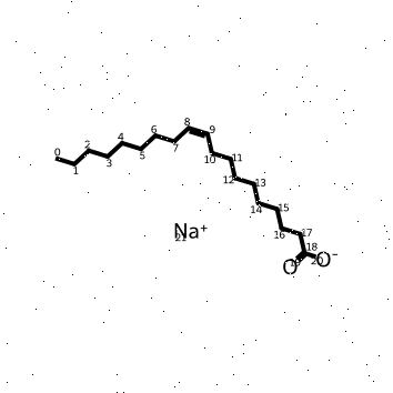 CCCCCCCC/C=C\CCCCCCCCC(=O)[O-].[Na+]